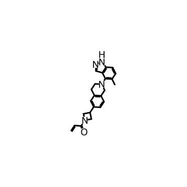 C=CC(=O)N1CC(c2ccc3c(c2)CCN(c2c(C)ccc4[nH]ncc24)C3)C1